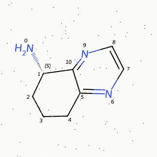 N[C@H]1CCCc2nccnc21